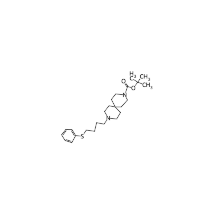 CC(C)(C)OC(=O)N1CCC2(CCN(CCCCSc3ccccc3)CC2)CC1